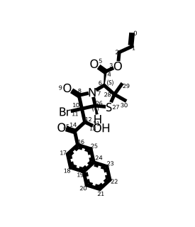 C=CCOC(=O)[C@@H]1N2C(=O)C(Br)(C(O)C(=O)c3ccc4ccccc4c3)[C@H]2SC1(C)C